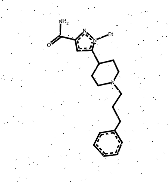 CCn1nc(C(N)=O)cc1C1CCN(CC[CH]c2ccccc2)CC1